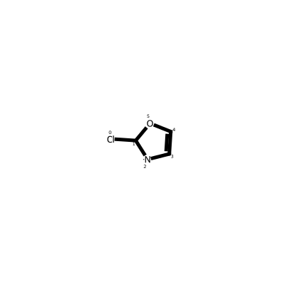 ClC1[N]C=CO1